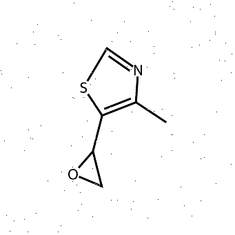 Cc1ncsc1C1CO1